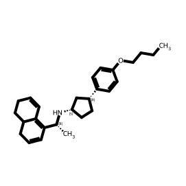 CCCCOc1ccc([C@@H]2CC[C@H](N[C@H](C)C3=C4C=CCCC4CC=C3)C2)cc1